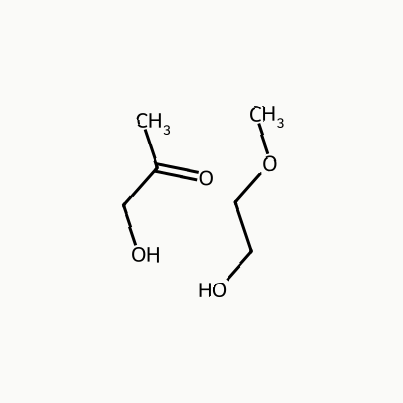 CC(=O)CO.COCCO